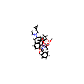 CCN(CC1CC1)[C@@H]1Cc2ccc(OC)c3c2C2(C)[C@@H](O3)[C@@]3(OC)CC[C@@]12C[C@@H]3CN(Cc1ccccc1)C(C)=O